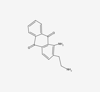 NCCc1ccc2c(c1N)C(=O)c1ccccc1C2=O